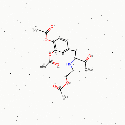 CCCCC(=O)Oc1ccc(C[C@H](NCCOC(=O)C(C)(C)C)C(=O)OC)cc1OC(=O)CCCC